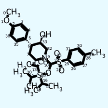 COc1ccc([C@H]2CCN(C(O[Si](C(C)C)(C(C)C)C(C)C)S(=O)(=O)c3ccc(C)cc3)C[C@@H]2O)cc1